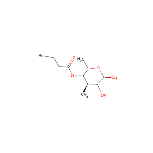 CC(=O)CCC(=O)O[C@@H]1C(C)O[C@@H](O)C(O)[C@H]1C